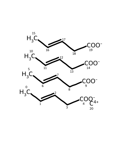 CC=CCC(=O)[O-].CC=CCC(=O)[O-].CC=CCC(=O)[O-].CC=CCC(=O)[O-].[C+4]